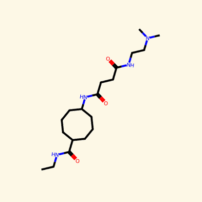 CCNC(=O)C1CCCC(NC(=O)CCC(=O)NCCN(C)C)CCC1